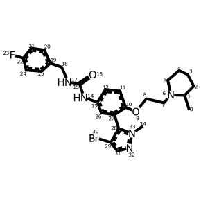 CC1CCCCN1CCOc1ccc(NC(=O)NCc2ccc(F)cc2)cc1-c1c(Br)cnn1C